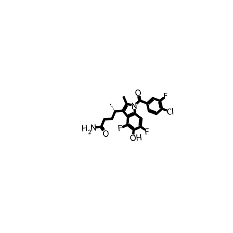 Cc1c([C@@H](C)CCC(N)=O)c2c(F)c(O)c(F)cc2n1C(=O)c1ccc(Cl)c(F)c1